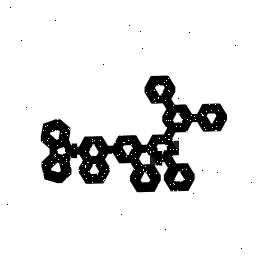 c1ccc(-c2cc(-c3ccccc3)cc(-c3cc(-c4ccc(-c5ccc(-n6c7ccccc7c7ccccc76)c6ccccc56)cc4-c4ccccc4)nc(-c4ccccc4)n3)c2)cc1